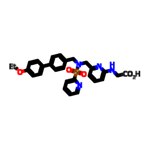 CCOc1ccc(-c2ccc(CN(Cc3cccc(NCC(=O)O)n3)S(=O)(=O)c3ccccn3)cc2)cc1